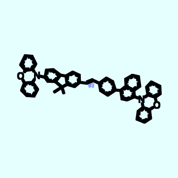 CC1(C)c2cc(/C=C/c3ccc(-c4ccc(N5c6ccccc6Oc6ccccc65)c5ccccc45)cc3)ccc2-c2ccc(N3c4ccccc4Oc4ccccc43)cc21